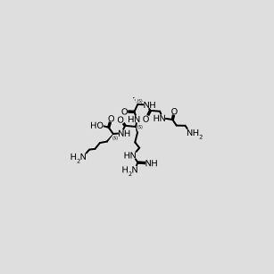 C[C@H](NC(=O)CNC(=O)CCN)C(=O)N[C@@H](CCCNC(=N)N)C(=O)N[C@@H](CCCCN)C(=O)O